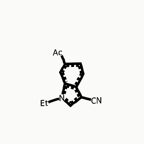 CCn1cc(C#N)c2ccc(C(C)=O)cc21